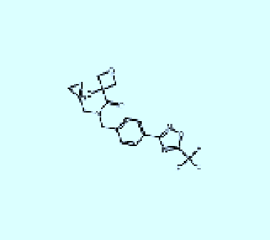 CC1(C(=O)N(Cc2ccc(-c3noc(C(F)(F)F)n3)cc2)CC2CC2)COC1